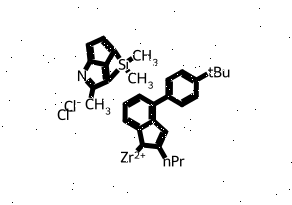 CC1=NC2=CC=C3C2=C1[Si]3(C)C.CCCC1=Cc2c(-c3ccc(C(C)(C)C)cc3)cccc2[CH]1[Zr+2].[Cl-].[Cl-]